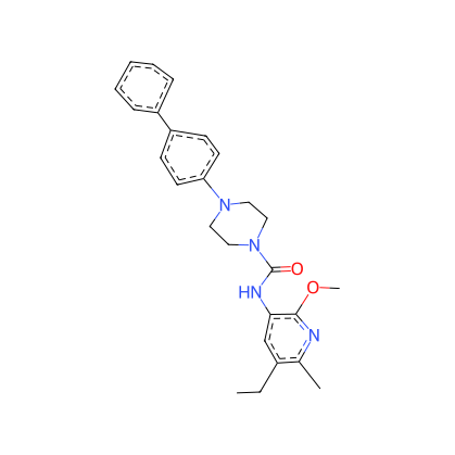 CCc1cc(NC(=O)N2CCN(c3ccc(-c4ccccc4)cc3)CC2)c(OC)nc1C